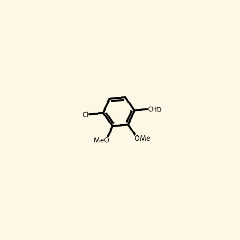 COc1c(Cl)ccc(C=O)c1OC